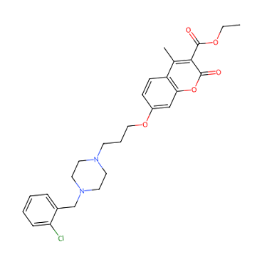 CCOC(=O)c1c(C)c2ccc(OCCCN3CCN(Cc4ccccc4Cl)CC3)cc2oc1=O